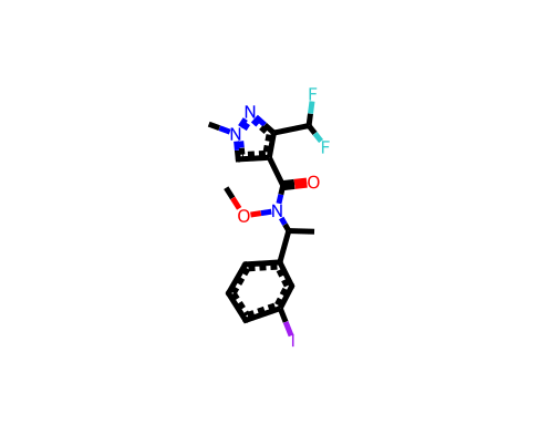 CON(C(=O)c1cn(C)nc1C(F)F)C(C)c1cccc(I)c1